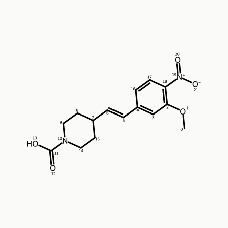 COc1cc(/C=C/C2CCN(C(=O)O)CC2)ccc1[N+](=O)[O-]